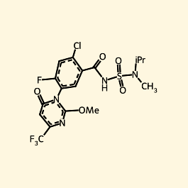 COc1nc(C(F)(F)F)cc(=O)n1-c1cc(C(=O)NS(=O)(=O)N(C)C(C)C)c(Cl)cc1F